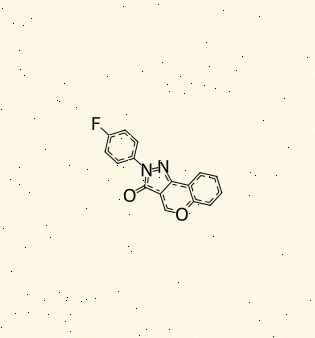 O=c1c2coc3ccccc3c-2nn1-c1ccc(F)cc1